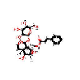 O=C(/C=C/c1ccccc1)OC[C@]12O[C@H]1[C@@H](O)[C@@H]1C=CO[C@@H](O[C@@H]3O[C@H](CO)[C@@H](O)[C@H](O)[C@H]3O)[C@@H]12